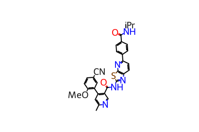 COc1ccc(C#N)cc1-c1cc(C)ncc1C(=O)Nc1nc2ccc(-c3ccc(C(=O)NC(C)C)cc3)nc2s1